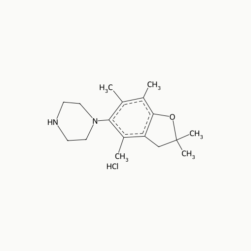 Cc1c(C)c(N2CCNCC2)c(C)c2c1OC(C)(C)C2.Cl